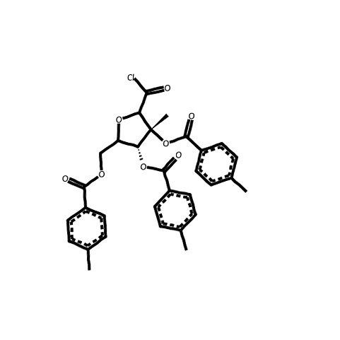 Cc1ccc(C(=O)OCC2OC(C(=O)Cl)[C@](C)(OC(=O)c3ccc(C)cc3)[C@@H]2OC(=O)c2ccc(C)cc2)cc1